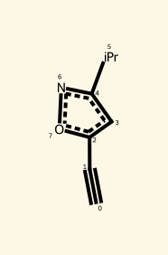 C#Cc1cc(C(C)C)no1